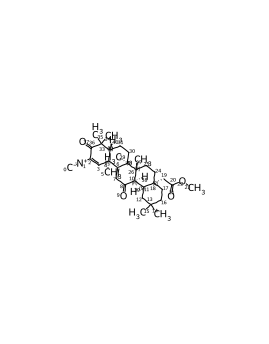 [C-]#[N+]C1=C[C@]2(C)C3=CC(=O)[C@@H]4[C@@H]5CC(C)(C)CC[C@]5(CC(=O)OC)CC[C@@]4(C)[C@]3(C)CC[C@H]2C(C)(C)C1=O